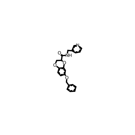 O=C(NCc1cccnc1)C1COc2ccc(OCc3ccccc3)cc2O1